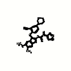 COc1cc2c(Oc3ccc(C4CCCCC4)cc3C#N)c(OC(=O)Nc3nn[nH]n3)sc2cc1C